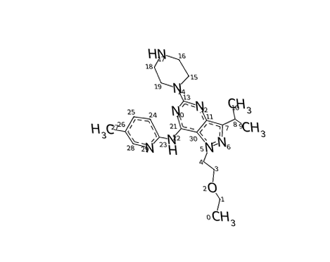 CCOCCn1nc(C(C)C)c2nc(N3CCNCC3)nc(Nc3ccc(C)cn3)c21